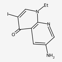 CCn1cc(I)c(=O)c2cc(N)cnc21